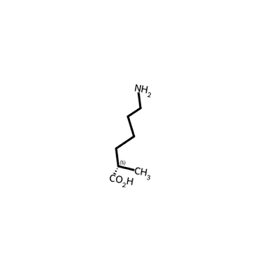 C[C@@H](CCCCN)C(=O)O